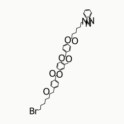 Cc1cc(OC(=O)c2ccc(CC(=O)CCCCCBr)cc2)ccc1OC(=O)c1ccc(OC(=O)CCCCCn2nnc3ccccc32)cc1